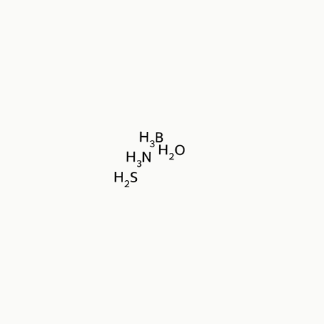 B.N.O.S